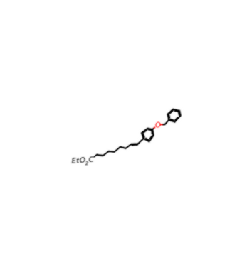 CCOC(=O)CCCCCC/C=C/c1ccc(OCc2ccccc2)cc1